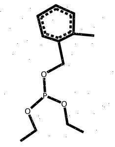 CCOP(OCC)OCc1ccccc1C